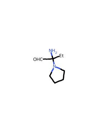 CCC(N)(C=O)N1CCCC1